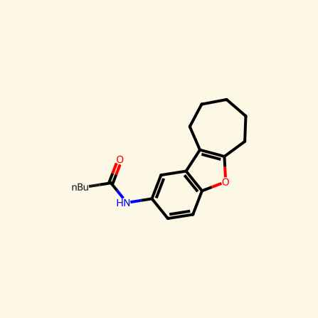 CCCCC(=O)Nc1ccc2oc3c(c2c1)CCCCC3